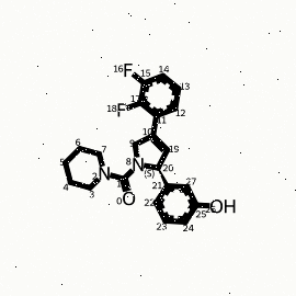 O=C(N1CCCCC1)N1CC(c2cccc(F)c2F)=C[C@H]1c1cccc(O)c1